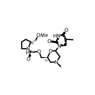 COC[C@H]1CCCN1[PH](=O)OC[C@@H]1CN(C)CC(n2cc(C)c(=O)[nH]c2=O)O1